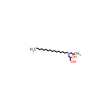 CCCCCCCCCCCCCCCCN(CCC)CC(O)CO